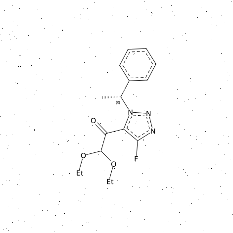 CCOC(OCC)C(=O)c1c(F)nnn1[C@H](C)c1ccccc1